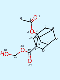 CC(=O)OC12CC3CC(C1)CC(C(=O)OCO)(C3)C2